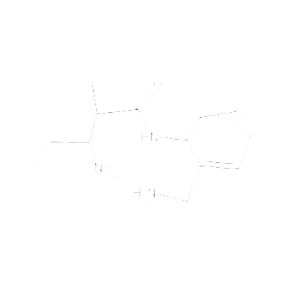 CCC(N)C(C)C(=O)Nc1ccccc1CN